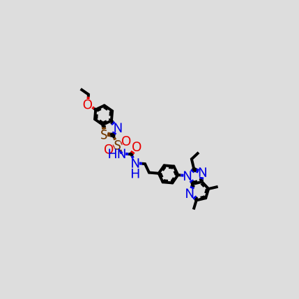 CCOc1ccc2nc(S(=O)(=O)NC(=O)NCCc3ccc(-n4c(CC)nc5c(C)cc(C)nc54)cc3)sc2c1